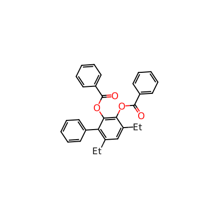 CCc1cc(CC)c(-c2ccccc2)c(OC(=O)c2ccccc2)c1OC(=O)c1ccccc1